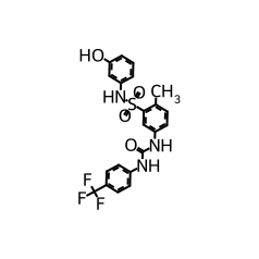 Cc1ccc(NC(=O)Nc2ccc(C(F)(F)F)cc2)cc1S(=O)(=O)Nc1cccc(O)c1